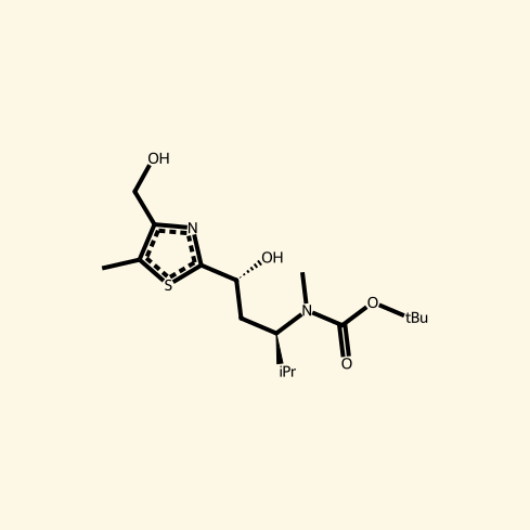 Cc1sc([C@H](O)C[C@H](C(C)C)N(C)C(=O)OC(C)(C)C)nc1CO